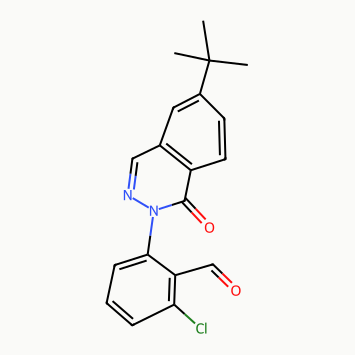 CC(C)(C)c1ccc2c(=O)n(-c3cccc(Cl)c3C=O)ncc2c1